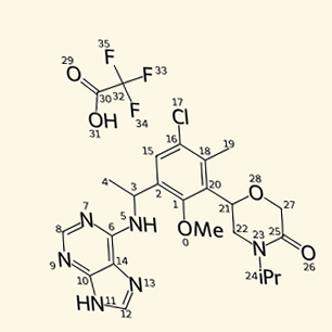 COc1c(C(C)Nc2ncnc3[nH]cnc23)cc(Cl)c(C)c1C1CN(C(C)C)C(=O)CO1.O=C(O)C(F)(F)F